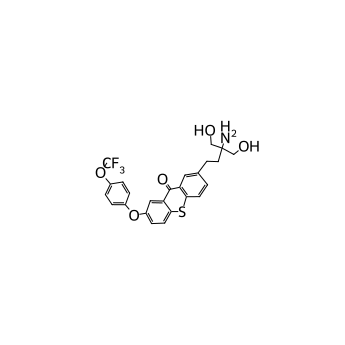 NC(CO)(CO)CCc1ccc2sc3ccc(Oc4ccc(OC(F)(F)F)cc4)cc3c(=O)c2c1